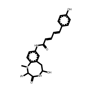 CC(C)C1C(=O)NC(O)Cc2cc(NC(=O)/C=C/C=C/c3ccc(O)cc3)ccc2N1C